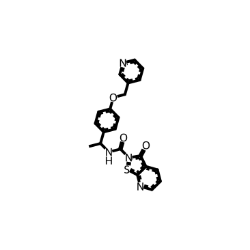 CC(NC(=O)n1sc2ncccc2c1=O)c1ccc(OCc2cccnc2)cc1